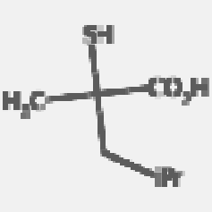 CC(C)CC(C)(S)C(=O)O